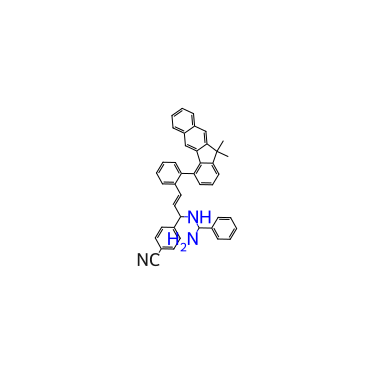 CC1(C)c2cc3ccccc3cc2-c2c(-c3ccccc3/C=C/C(NC(N)c3ccccc3)c3ccc(C#N)cc3)cccc21